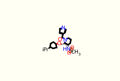 CC(C)C1CCC(OC[C@H]2[C@@H](NS(C)(=O)=O)CCCN2C(=O)c2ccncc2)CC1